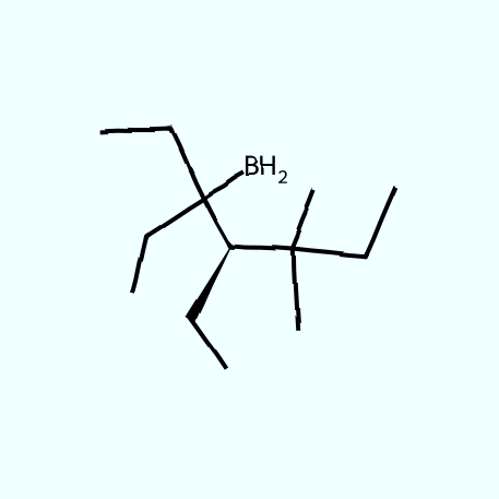 BC(CC)(CC)[C@H](CC)C(C)(C)CC